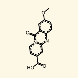 COc1ccc2nc3cc(C(=O)O)ccn3c(=O)c2c1